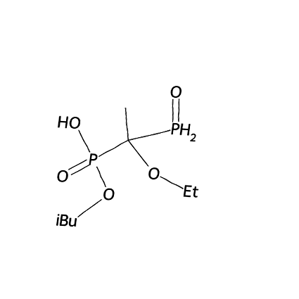 CCOC(C)([PH2]=O)P(=O)(O)OC(C)CC